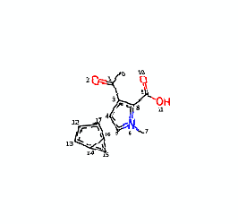 CC(=O)c1ccn(C)c1C(=O)O.c1cc2cc-2c1